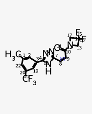 Cc1cc(-c2nnc(/C=C\C(=O)N3CC(F)(F)C3)[nH]2)cc(C(F)(F)F)c1